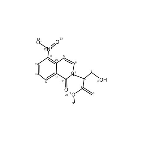 C=C(OC)C(CO)n1ccc2c([N+](=O)[O-])cccc2c1=O